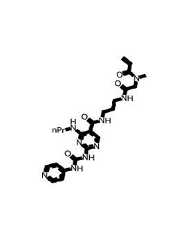 C=CC(=O)N(C)CC(=O)NCCCNC(=O)c1cnc(NC(=O)Nc2ccncc2)nc1NCCC